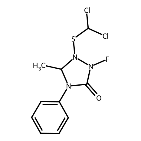 CC1N(c2ccccc2)C(=O)N(F)N1SC(Cl)Cl